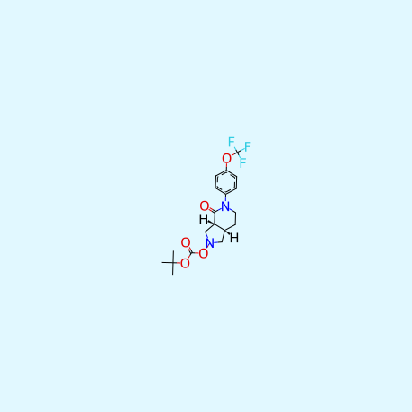 CC(C)(C)OC(=O)ON1C[C@H]2CCN(c3ccc(OC(F)(F)F)cc3)C(=O)[C@H]2C1